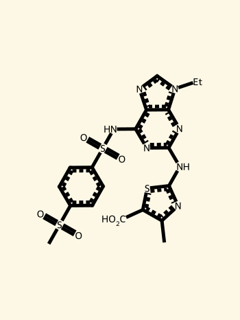 CCn1cnc2c(NS(=O)(=O)c3ccc(S(C)(=O)=O)cc3)nc(Nc3nc(C)c(C(=O)O)s3)nc21